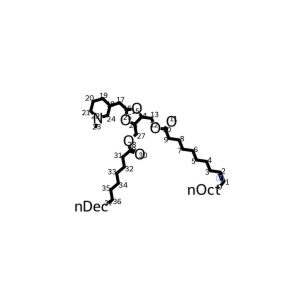 CCCCCCCC/C=C\CCCCCCCC(=O)OCC1OC(CC2CCCN(C)C2)OC1COC(=O)CCCCCCCCCCCCCCCC